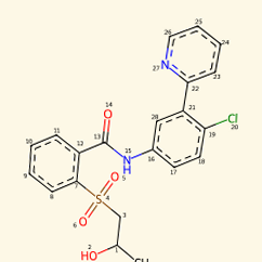 CC(O)CS(=O)(=O)c1ccccc1C(=O)Nc1ccc(Cl)c(-c2ccccn2)c1